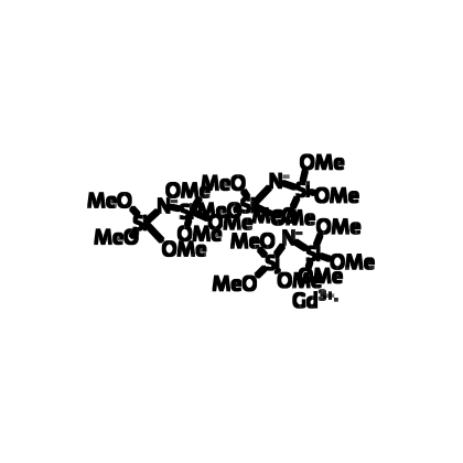 CO[Si]([N-][Si](OC)(OC)OC)(OC)OC.CO[Si]([N-][Si](OC)(OC)OC)(OC)OC.CO[Si]([N-][Si](OC)(OC)OC)(OC)OC.[Gd+3]